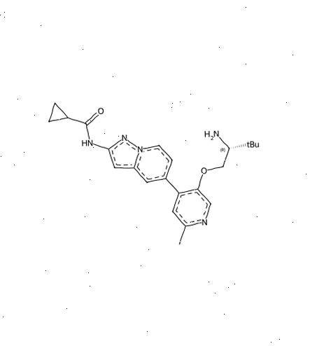 Cc1cc(-c2ccn3nc(NC(=O)C4CC4)cc3c2)c(OC[C@H](N)C(C)(C)C)cn1